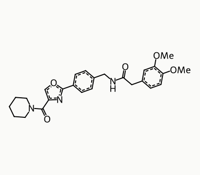 COc1ccc(CC(=O)NCc2ccc(-c3nc(C(=O)N4CCCCC4)co3)cc2)cc1OC